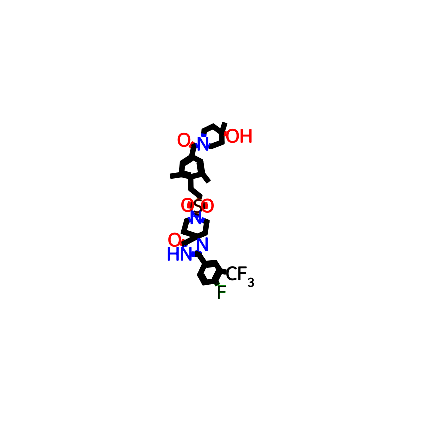 Cc1cc(C(=O)N2CCC(C)(O)CC2)cc(C)c1CCS(=O)(=O)N1CCC2(CC1)N=C(c1ccc(F)c(C(F)(F)F)c1)NC2=O